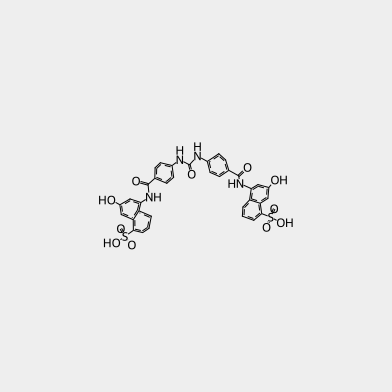 O=C(Nc1ccc(C(=O)Nc2cc(O)cc3c(S(=O)(=O)O)cccc23)cc1)Nc1ccc(C(=O)Nc2cc(O)cc3c(S(=O)(=O)O)cccc23)cc1